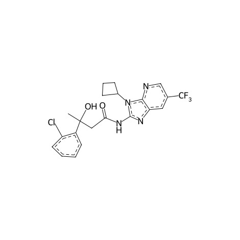 CC(O)(CC(=O)Nc1nc2cc(C(F)(F)F)cnc2n1C1CCC1)c1ccccc1Cl